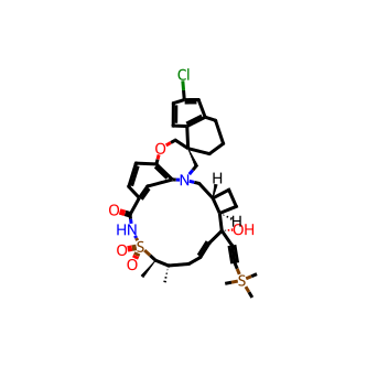 C[C@@H]1[C@@H](C)C/C=C/[C@](O)(C#CS(C)(C)C)[C@@H]2CC[C@H]2CN2C[C@@]3(CCCc4cc(Cl)ccc43)COc3ccc(cc32)C(=O)NS1(=O)=O